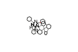 CC1(C)c2ccccc2C2(c3ccccc3-c3cccc(-c4cccc(-c5nc(-c6ccccc6)nc(-c6ccccn6)n5)c4)c32)c2ccccc21